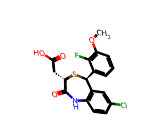 COc1cccc([C@@H]2S[C@@H](CC(=O)O)C(=O)Nc3ccc(Cl)cc32)c1F